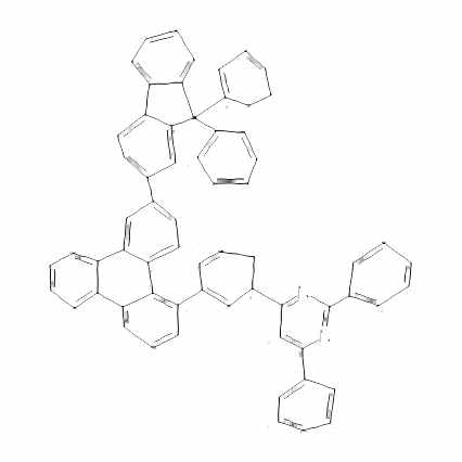 C1=CCCC(C2(c3ccccc3)c3ccccc3-c3ccc(-c4ccc5c(c4)c4ccccc4c4cccc(C6=CC(c7cc(-c8ccccc8)nc(-c8ccccc8)n7)CC=C6)c45)cc32)=C1